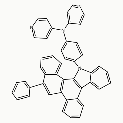 c1ccc(-c2cc3c4ccccc4c4c5ccccc5n(-c5ccc(N(c6ccncc6)c6ccncc6)cc5)c4c3c3ccccc23)cc1